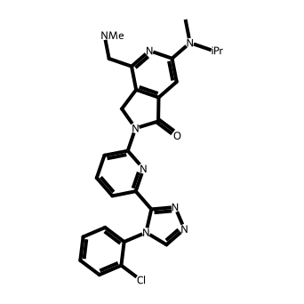 CNCc1nc(N(C)C(C)C)cc2c1CN(c1cccc(-c3nncn3-c3ccccc3Cl)n1)C2=O